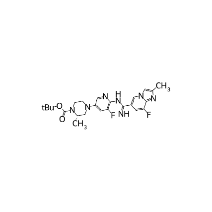 Cc1cn2cc(C(=N)Nc3ncc(N4CCN(C(=O)OC(C)(C)C)[C@@H](C)C4)cc3F)cc(F)c2n1